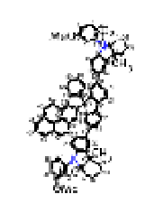 COc1cccc(N2c3ccc(-c4ccc5c(c4)C4(c6cc(-c7ccc8c(c7)C7(C)CCCCC7(C)N8c7cccc(OC)c7)ccc6-5)c5ccccc5-c5c4cc4ccc6cccc7ccc5c4c67)cc3C3(C)CCCCC23C)c1